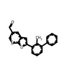 Cc1c(-c2ccccc2)cccc1-c1cc2cc(C=O)cnc2o1